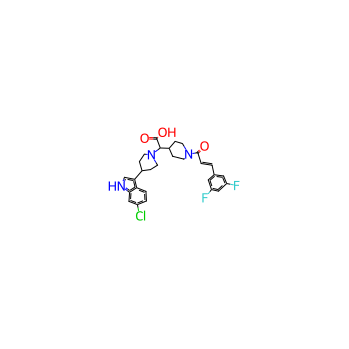 O=C(O)C(C1CCN(C(=O)/C=C/c2cc(F)cc(F)c2)CC1)N1CCC(c2c[nH]c3cc(Cl)ccc23)CC1